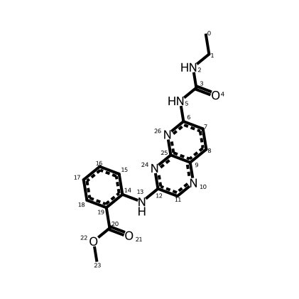 CCNC(=O)Nc1ccc2ncc(Nc3ccccc3C(=O)OC)nc2n1